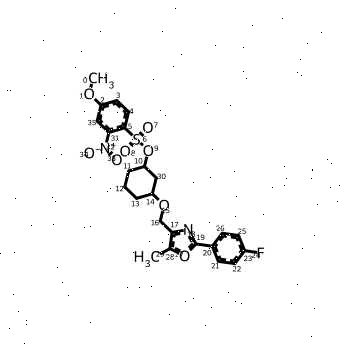 COc1ccc(S(=O)(=O)OC2CCCC(OCc3nc(-c4ccc(F)cc4)oc3C)C2)c([N+](=O)[O-])c1